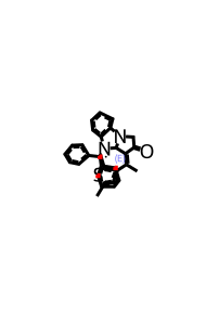 C/C(=C1\C(=O)CN2c3ccccc3N([C](c3ccccc3)c3ccccc3)C12)c1cc(C)sc1C